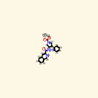 CC(C)(C)OC(=O)N1C[C@@H](NC(=O)c2cc3ccccc3cn2)[C@H](c2ccccc2)C1